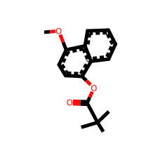 COc1ccc(OC(=O)C(C)(C)C)c2ccccc12